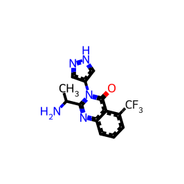 CC(N)c1nc2cccc(C(F)(F)F)c2c(=O)n1-c1cn[nH]c1